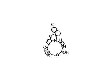 O=C1NS(=O)(=O)CCOC[C@@H](O)C[C@H]2CC[C@H]2CN2C[C@@]3(CCCc4cc(Cl)ccc43)COc3ccc1cc32